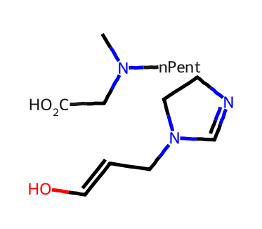 CCCCCN(C)CC(=O)O.OC=CCN1C=NCC1